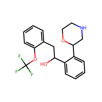 OC(Cc1ccccc1OC(F)(F)F)c1ccccc1C1CNCCO1